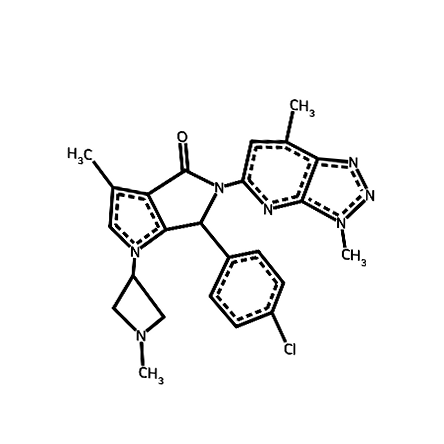 Cc1cn(C2CN(C)C2)c2c1C(=O)N(c1cc(C)c3nnn(C)c3n1)C2c1ccc(Cl)cc1